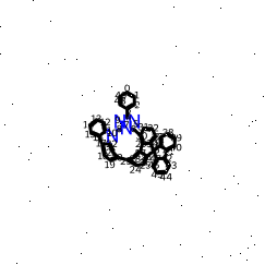 c1ccc(-c2nc3nc(n2)-n2c4ccccc4c4ccc(cc42)-c2ccc4c(c2)-c2c-3cccc2C42c3ccccc3-c3ccccc32)cc1